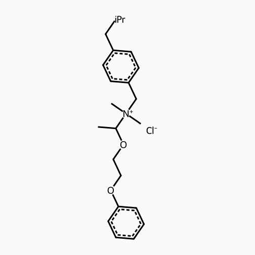 CC(C)Cc1ccc(C[N+](C)(C)C(C)OCCOc2ccccc2)cc1.[Cl-]